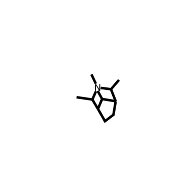 CC1C2CCC1C(C)N(C)C2C